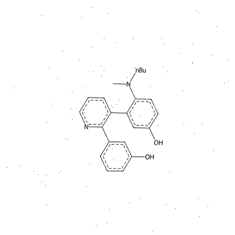 CCCCN(C)c1ccc(O)cc1-c1cccnc1-c1cccc(O)c1